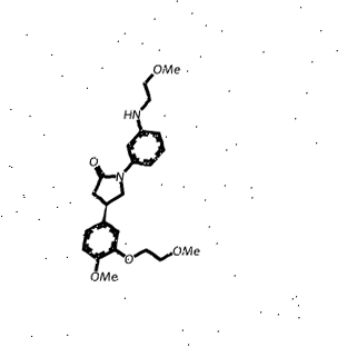 COCCNc1cccc(N2C[C@@H](c3ccc(OC)c(OCCOC)c3)CC2=O)c1